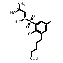 C[C@H](O)CN(C)S(=O)(=O)c1cc(F)cc(CCCCC(=O)O)c1Cl